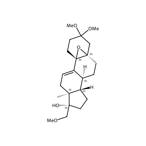 COC[C@]1(O)CC[C@H]2[C@@H]3CC[C@]45CC(OC)(OC)CC[C@]4(O5)C3=CC[C@@]21C